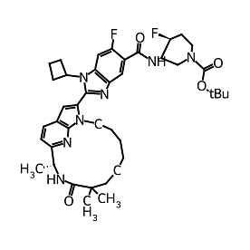 C[C@H]1NC(=O)C(C)(C)CCCCCCn2c(-c3nc4cc(C(=O)N[C@H]5CN(C(=O)OC(C)(C)C)CC[C@@H]5F)c(F)cc4n3C3CCC3)cc3ccc1nc32